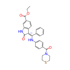 CCOC(=O)c1ccc2c(c1)NC(=O)/C2=C(\Nc1ccc(C(=O)N2CCSCC2)cc1)c1ccccc1